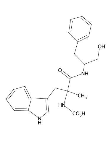 CC(Cc1c[nH]c2ccccc12)(NC(=O)O)C(=O)NC(CO)Cc1ccccc1